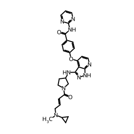 CN(C/C=C/C(=O)N1CCC(Nc2n[nH]c3nccc(Oc4ccc(C(=O)Nc5ncccn5)cc4)c23)C1)C1CC1